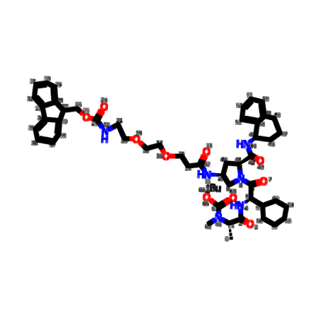 C[C@@H](C(=O)N[C@H](C(=O)N1C[C@@H](NC(=O)CCOCCOCCNC(=O)OCC2c3ccccc3-c3ccccc32)C[C@H]1C(=O)N[C@@H]1CCCc2ccccc21)C1CCCCC1)N(C)C(=O)OC(C)(C)C